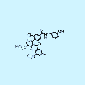 Cc1cc(C(=O)N(N[C@@H](C)C(=O)O)C(=O)c2ccc(C(=O)NCc3cccc(O)c3)cc2Cl)cc([N+](=O)[O-])c1